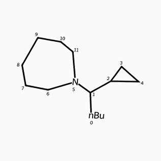 CCCCC(C1CC1)N1CCCCCC1